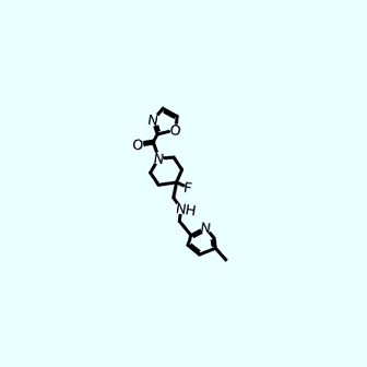 Cc1ccc(CNCC2(F)CCN(C(=O)c3ncco3)CC2)nc1